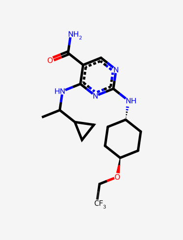 CC(Nc1nc(N[C@H]2CC[C@H](OCC(F)(F)F)CC2)ncc1C(N)=O)C1CC1